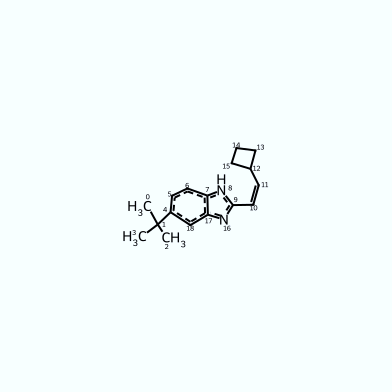 CC(C)(C)c1ccc2[nH]c(/C=C\C3CCC3)nc2c1